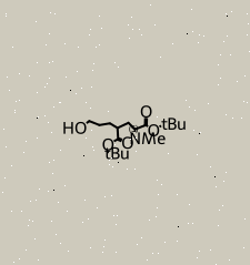 CN[C@@H](CC(CCCO)C(=O)OC(C)(C)C)C(=O)OC(C)(C)C